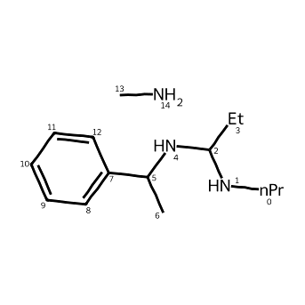 CCCNC(CC)NC(C)c1ccccc1.CN